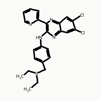 CCN(CC)Cc1ccc(Nc2nc3cc(Cl)c(Cl)cc3nc2-c2ccccn2)cc1